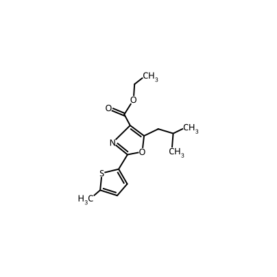 CCOC(=O)c1nc(-c2ccc(C)s2)oc1CC(C)C